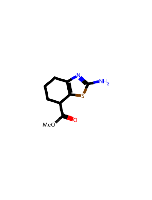 COC(=O)C1CCCc2nc(N)sc21